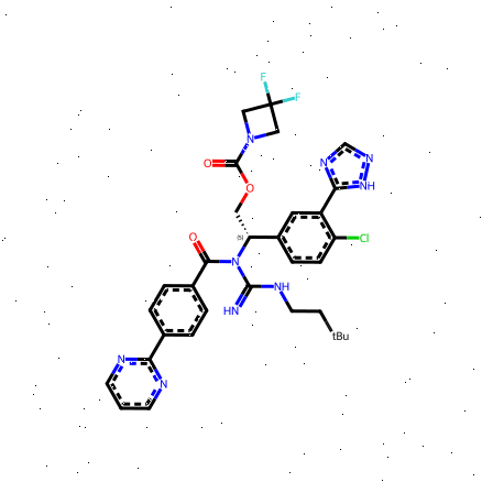 CC(C)(C)CCNC(=N)N(C(=O)c1ccc(-c2ncccn2)cc1)[C@H](COC(=O)N1CC(F)(F)C1)c1ccc(Cl)c(-c2ncn[nH]2)c1